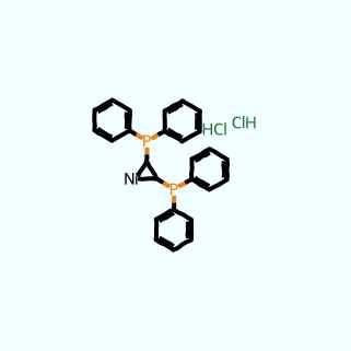 Cl.Cl.c1ccc(P(c2ccccc2)[CH]2[Ni][CH]2P(c2ccccc2)c2ccccc2)cc1